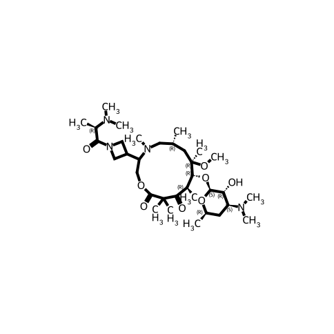 CO[C@]1(C)C[C@@H](C)CN(C)C(C2CN(C(=O)[C@@H](C)N(C)C)C2)COC(=O)C(C)(C)C(=O)[C@H](C)[C@H]1O[C@@H]1O[C@H](C)C[C@H](N(C)C)[C@H]1O